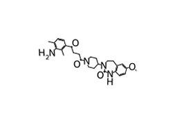 COc1ccc2c(c1)CCN(C1CCN(C(=O)CCC(=O)c3ccc(C)c(N)c3C)CC1)C(=O)N2